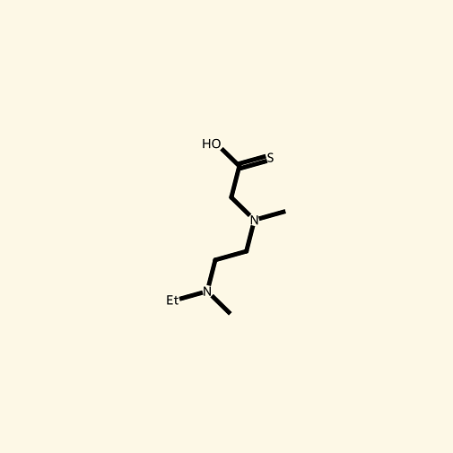 CCN(C)CCN(C)CC(O)=S